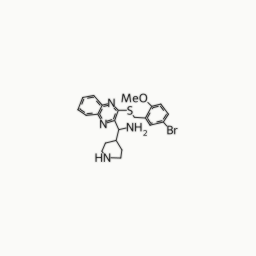 COc1ccc(Br)cc1CSc1nc2ccccc2nc1C(N)C1CCNCC1